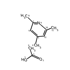 CC(=O)O.Cc1cc(C)nc(C)c1